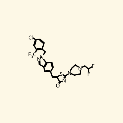 O=C1N=C(N2CCN(CC(F)F)CC2)S/C1=C\c1ccc2c(cnn2Cc2ccc(Cl)cc2C(F)(F)F)c1